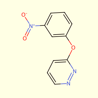 O=[N+]([O-])c1cccc(Oc2cccnn2)c1